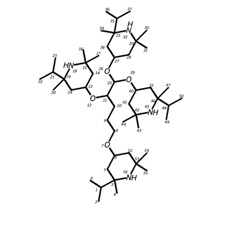 CC(C)C1(C)CC(OCCCC(OC2CC(C)(C)NC(C)(C(C)C)C2)C(OC2CC(C)(C)NC(C)(C(C)C)C2)OC2CC(C)(C)NC(C)(C(C)C)C2)CC(C)(C)N1